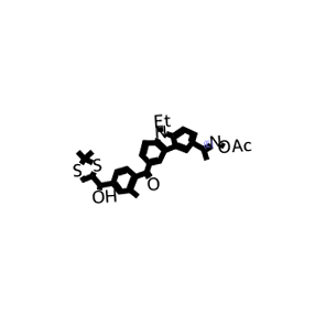 CCn1c2ccc(C(=O)c3ccc(C(O)C4CSC(C)(C)S4)cc3C)cc2c2cc(/C(C)=N/OC(C)=O)ccc21